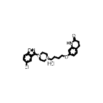 Cl.O=C1CCc2ccc(OCCCCN3CCN(c4noc5ccc(Cl)cc45)CC3)cc2N1